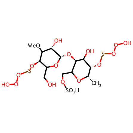 COC1[C@H](OSOOO)C(CO)O[C@@H](O[C@@H]2C(COS(=O)(=O)O)O[C@@H](C)[C@@H](OSOOO)C2O)[C@H]1O